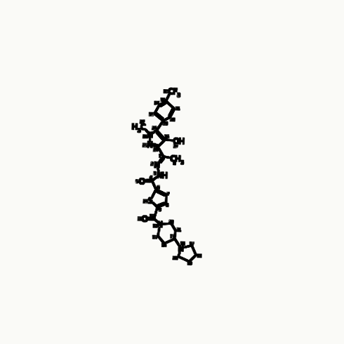 C/C(=N\NC(=O)c1ccc(C(=O)N2CCC(N3CCCC3)CC2)s1)c1nn(C)c(-c2ccc(C(F)(F)F)cc2)c1O